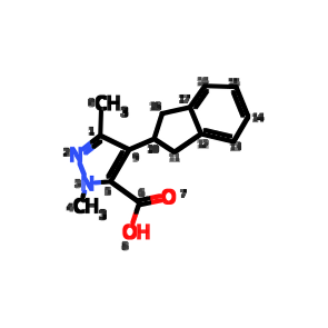 Cc1nn(C)c(C(=O)O)c1C1Cc2ccccc2C1